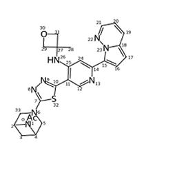 CC(=O)N1C2CC1CN(c1nnc(-c3cnc(-c4ccc5cccnn45)cc3NC3(C)COC3)s1)C2